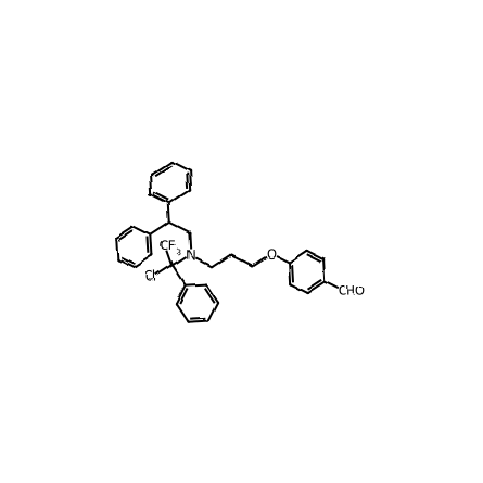 O=Cc1ccc(OCCCN(CC(c2ccccc2)c2ccccc2)C(Cl)(c2ccccc2)C(F)(F)F)cc1